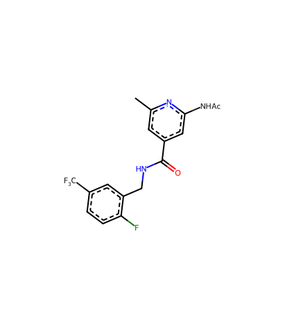 CC(=O)Nc1cc(C(=O)NCc2cc(C(F)(F)F)ccc2F)cc(C)n1